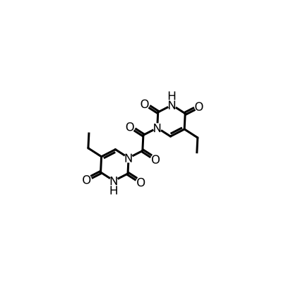 CCc1cn(C(=O)C(=O)n2cc(CC)c(=O)[nH]c2=O)c(=O)[nH]c1=O